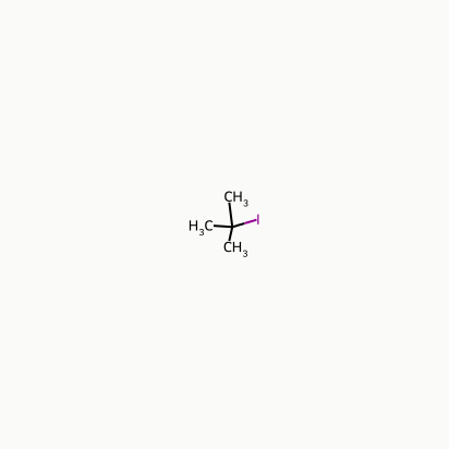 CC(C)(C)I